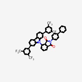 O=C1c2cccc(-n3c4cc(-c5cc(C(F)(F)F)cc(C(F)(F)F)c5)ccc4c4ccc(-c5cc(C(F)(F)F)cc(C(F)(F)F)c5)cc43)c2C(=O)N1c1ccc(-c2ccccc2)cc1